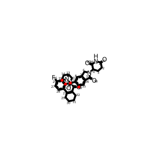 O=C1CCC(N2Cc3cc(C(=O)N4C5CC4CN(C(=O)C4=C(c6ccc(F)cc6)CCCC4)C5)ccc3C2=O)C(=O)N1